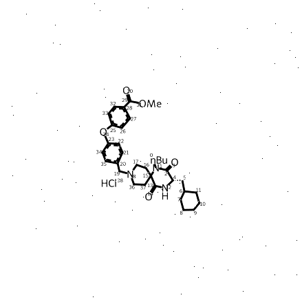 CCCCN1C(=O)[C@H](CC2CCCCC2)NC(=O)C12CCN(Cc1ccc(Oc3ccc(C(=O)OC)cc3)cc1)CC2.Cl